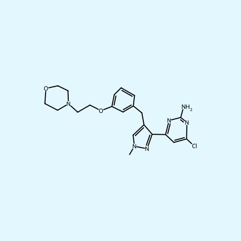 Cn1cc(Cc2cccc(OCCN3CCOCC3)c2)c(-c2cc(Cl)nc(N)n2)n1